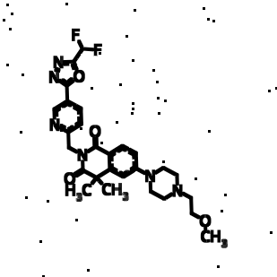 COCCN1CCN(c2ccc3c(c2)C(C)(C)C(=O)N(Cc2ccc(-c4nnc(C(F)F)o4)cn2)C3=O)CC1